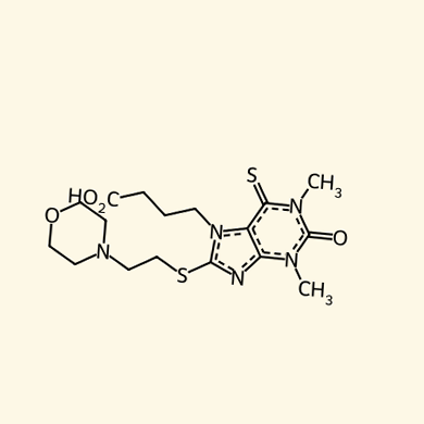 Cn1c(=S)c2c(nc(SCCN3CCOCC3)n2CCCC(=O)O)n(C)c1=O